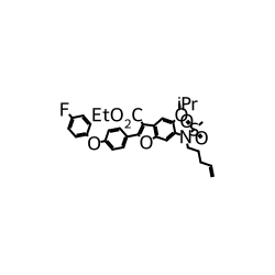 C=CCCCN(c1cc2oc(-c3ccc(Oc4ccc(F)cc4)cc3)c(C(=O)OCC)c2cc1OC(C)C)S(C)(=O)=O